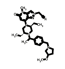 CC[C@H]1CN(C(C)c2ccc(CN3CCC(OC)C3)cc2)[C@H](CC)CN1c1cc(=O)n(C)c2cn(CC#N)nc12